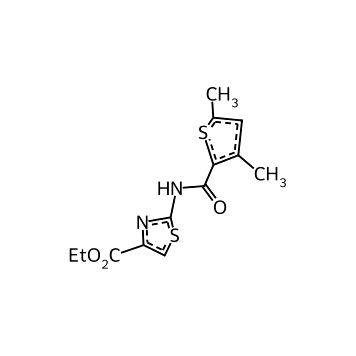 CCOC(=O)c1csc(NC(=O)c2sc(C)cc2C)n1